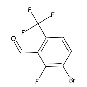 O=Cc1c(C(F)(F)F)ccc(Br)c1F